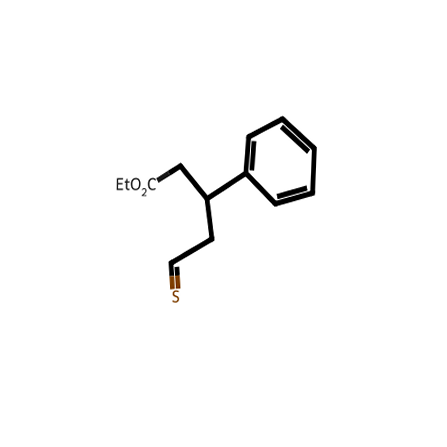 CCOC(=O)CC(CC=S)c1ccccc1